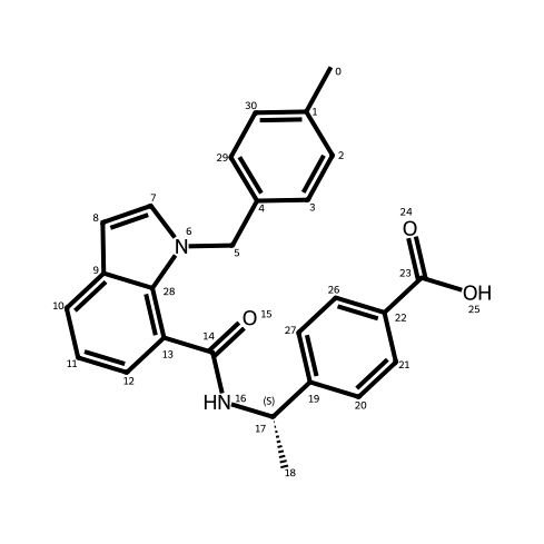 Cc1ccc(Cn2ccc3cccc(C(=O)N[C@@H](C)c4ccc(C(=O)O)cc4)c32)cc1